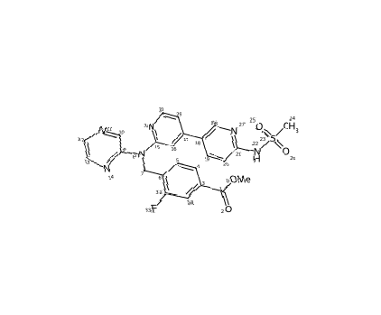 COC(=O)c1ccc(CN(c2cnccn2)c2cc(-c3ccc(NS(C)(=O)=O)nc3)ccn2)c(F)c1